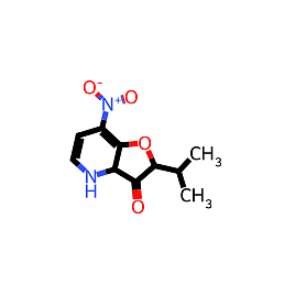 CC(C)C1OC2=C([N+](=O)[O-])C=CNC2C1=O